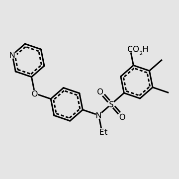 CCN(c1ccc(Oc2cccnc2)cc1)S(=O)(=O)c1cc(C)c(C)c(C(=O)O)c1